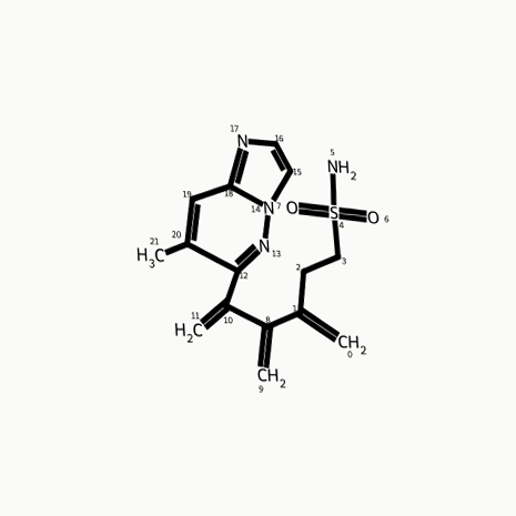 C=C(CCS(N)(=O)=O)C(=C)C(=C)c1nn2ccnc2cc1C